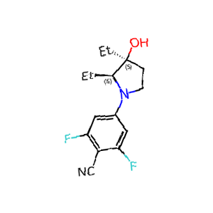 CC[C@@H]1N(c2cc(F)c(C#N)c(F)c2)CC[C@@]1(O)CC